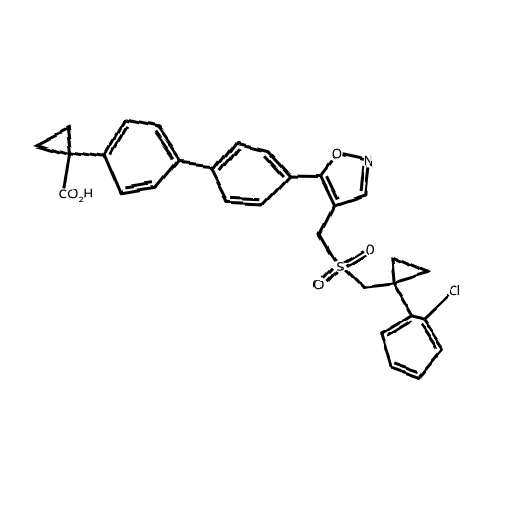 O=C(O)C1(c2ccc(-c3ccc(-c4oncc4CS(=O)(=O)CC4(c5ccccc5Cl)CC4)cc3)cc2)CC1